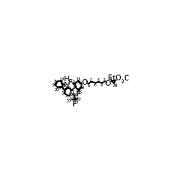 CCOC(=O)C1(OCCCCCCOc2cc(F)c([C@@H]3c4[nH]c5ccccc5c4C[C@@H](C)N3CC(C)(C)F)c(F)c2)CC1